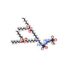 CCCCCCOCC(COCCCCCC)OC(=O)CCCCCCCN(CCCCCCCC(=O)OC(COCCCCCC)COCCCCCC)CCCNc1c(NCCCNc2c(OC)c(=O)c2=O)c(=O)c1=O